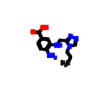 CCCn1cnnc1CNc1cc(C(=O)O)ccc1N